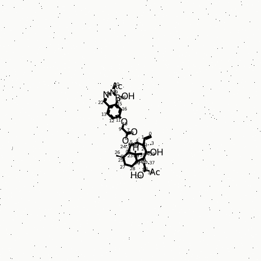 C=C[C@]1(C)C[C@@H](OC(=O)COc2ccc3c(c2)B(O)N(C(C)=O)N=C3)[C@]2(C)[C@H](C)CC[C@@](C[C@H](O)C(C)=O)([C@H]2C)[C@@H](C)[C@@H]1O